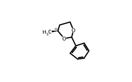 C[C@H]1CCOC(c2ccccc2)O1